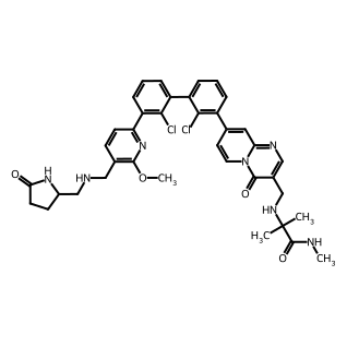 CNC(=O)C(C)(C)NCc1cnc2cc(-c3cccc(-c4cccc(-c5ccc(CNCC6CCC(=O)N6)c(OC)n5)c4Cl)c3Cl)ccn2c1=O